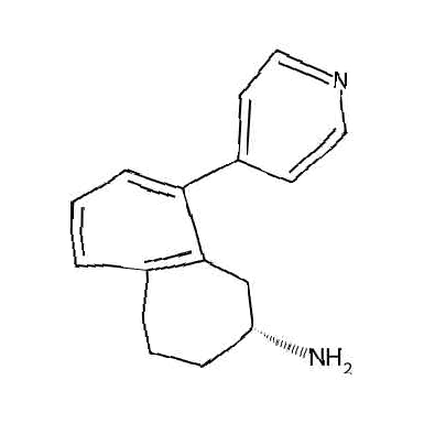 N[C@@H]1CCc2cccc(-c3ccncc3)c2C1